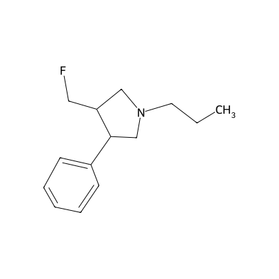 CCCN1CC(CF)C(c2ccccc2)C1